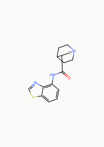 O=C(Nc1cccc2scnc12)C1CN2CCC1CC2